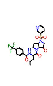 CCCC(NC(=O)c1ccc(C(F)(F)F)cc1)C(=O)N1CCC2C1C(=O)CN2S(=O)(=O)c1cccnc1